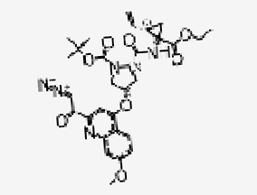 C=C[C@@H]1C[C@]1(NC(=O)[C@@H]1C[C@@H](Oc2cc(C(=O)C=[N+]=[N-])nc3cc(OC)ccc23)CN1C(=O)OC(C)(C)C)C(=O)OCC